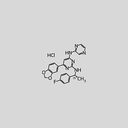 C[C@H](Nc1nc(Nc2cnccn2)cc(-c2ccc3c(c2)OCO3)n1)c1ccc(F)cc1.Cl